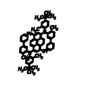 Cc1cc([Si](C)(C)C)ccc1N(c1cc(-c2ccccc2)ccc1C)c1cc(C(C)C)c2ccc3c(N(c4ccc([Si](C)(C)C)cc4C)c4cc(-c5ccccc5)ccc4C)cc(C(C)C)c4ccc1c2c43